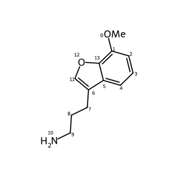 COc1cccc2c(CCCN)coc12